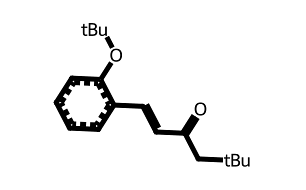 CC(C)(C)CC(=O)/C=C/c1ccccc1OC(C)(C)C